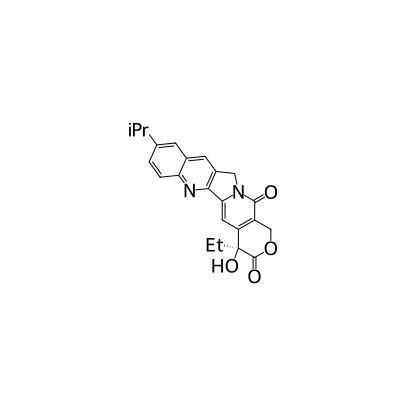 CC[C@@]1(O)C(=O)OCc2c1cc1n(c2=O)Cc2cc3cc(C(C)C)ccc3nc2-1